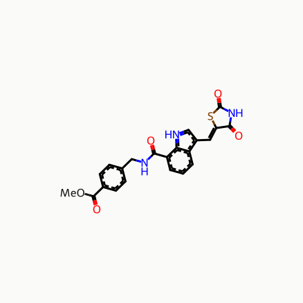 COC(=O)c1ccc(CNC(=O)c2cccc3c(C=C4SC(=O)NC4=O)c[nH]c23)cc1